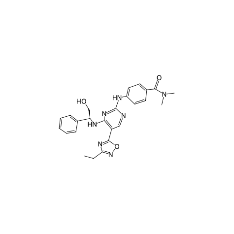 CCc1noc(-c2cnc(Nc3ccc(C(=O)N(C)C)cc3)nc2N[C@H](CO)c2ccccc2)n1